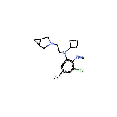 C=Nc1c(Cl)cc(C(C)=O)cc1N(CCN1CC2CC2C1)C1CCC1